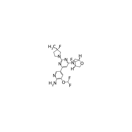 C[C@]1(F)CCN(c2nc(-c3cnc(N)c(OC(F)F)c3)cc(N3C[C@@H]4OC[C@H]3C4F)n2)C1